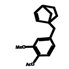 COc1cc(CC23C=CC(CC2)C3)ccc1OC(C)=O